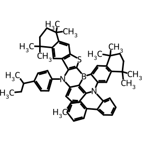 CCC(C)c1ccc(N2c3cc(C)cc4c3B(c3cc5c(cc3N4c3ccccc3-c3ccccc3)C(C)(C)CCC5(C)C)c3sc4cc5c(cc4c32)C(C)(C)CCC5(C)C)cc1